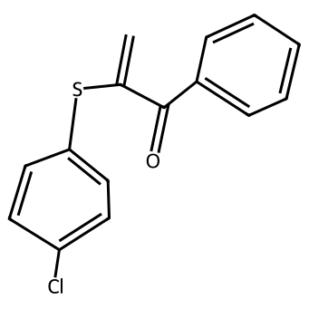 C=C(Sc1ccc(Cl)cc1)C(=O)c1ccccc1